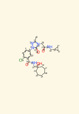 Cc1nn(-c2ccc(Cl)c(C(=O)NCC3(O)CCCCCC3)c2)c(=O)n1CC(=O)NCC1CC1